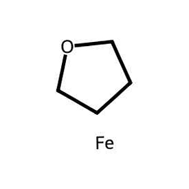 C1CCOC1.[Fe]